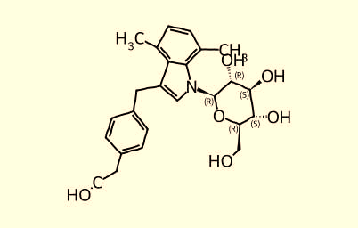 Cc1ccc(C)c2c1c(Cc1ccc(CCO)cc1)cn2[C@@H]1O[C@H](CO)[C@@H](O)[C@H](O)[C@H]1O